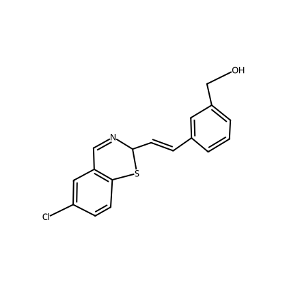 OCc1cccc(C=CC2N=Cc3cc(Cl)ccc3S2)c1